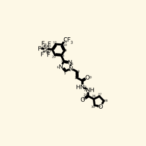 O=C(C=Cn1cnc(-c2cc(C(F)(F)F)cc(S(F)(F)(F)(F)F)c2)n1)NNC(=O)C1CCOC1